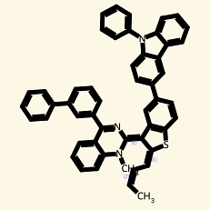 C\C=C/C=c1/sc2ccc(-c3ccc4c(c3)c3ccccc3n4-c3ccccc3)cc2/c1=C1\N=C(c2cccc(-c3ccccc3)c2)c2ccccc2N1C